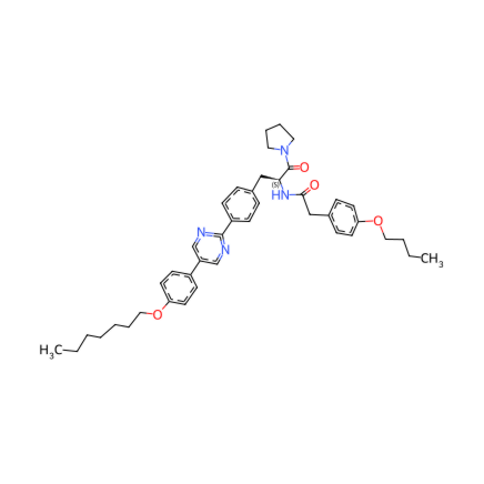 CCCCCCCOc1ccc(-c2cnc(-c3ccc(C[C@H](NC(=O)Cc4ccc(OCCCC)cc4)C(=O)N4CCCC4)cc3)nc2)cc1